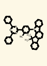 CC1(C)c2ccccc2-c2ccc3c4ccccc4n(-c4ccc(-c5nc(-c6ccccc6)nc(-c6ccccc6)n5)c(C#N)c4)c3c21